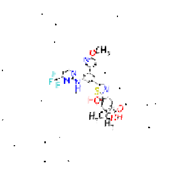 COc1ccc(-c2cc(Nc3nccc(C(F)(F)F)n3)cc(-c3cnc([C@]4(O)CC[C@@H](C(=O)O)C(C)(C)C4)s3)c2)cn1